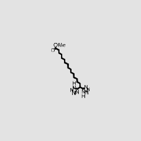 COC(=O)CCCCCCCCCCCCCCCC(c1nnn[nH]1)c1nnn[nH]1